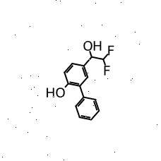 Oc1ccc(C(O)C(F)F)cc1-c1ccccc1